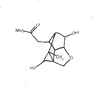 COC(=O)CC1C2C(O)C3OCC4(C13)C(O)C24C